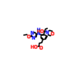 CCOc1ncc(Nc2cc(CCC(=O)O)ccc2C(O)(CC)N2CCOCC2)cn1